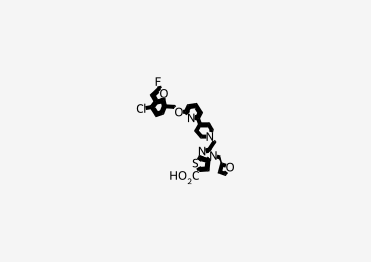 O=C(O)c1cc2c(nc(CN3CC=C(c4cccc(OCc5ccc(Cl)c6cc(F)oc56)n4)CC3)n2C[C@@H]2CCO2)s1